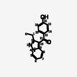 CCc1nn2ccccc2c1C(=O)c1ccc(O)cc1